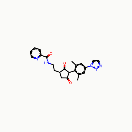 Cc1cc(-n2ccnn2)cc(C)c1C1C(=O)CC(CCNC(=O)c2ccccn2)C1=O